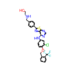 OCCNCc1ccc(-c2nc3c(Nc4ccc(OCc5ccccc5C(F)(F)F)c(Cl)c4)ncnc3s2)cc1